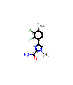 COc1ccc(-c2cn(C)c(C(N)=O)n2)c(F)c1F